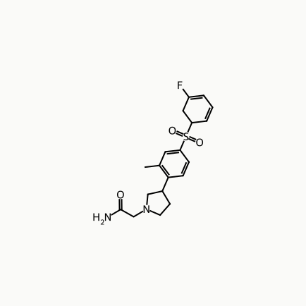 Cc1cc(S(=O)(=O)C2C=CC=C(F)C2)ccc1C1CCN(CC(N)=O)C1